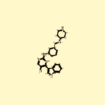 Clc1cnc(N[C@@H]2CCC[C@H](CNC3CCNCC3)C2)nc1-c1c[nH]c2ccccc12